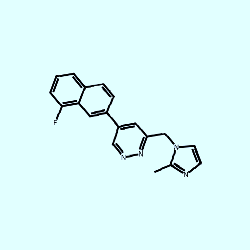 Cc1nccn1Cc1cc(-c2ccc3cccc(F)c3c2)cnn1